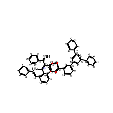 N=C(/C(=C1\NC(c2ccccc2)=Cc2cccc(-c3cccc(-c4cccc(-c5cc(-c6ccccc6)nc(-c6ccccc6)c5)c4)c3)c21)c1ccccc1)c1ccccc1